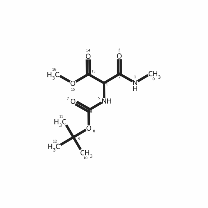 CNC(=O)C(NC(=O)OC(C)(C)C)C(=O)OC